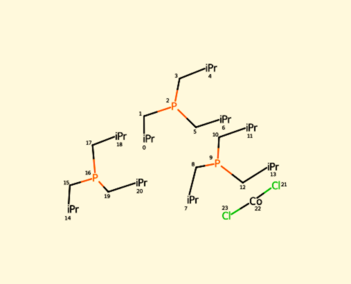 CC(C)CP(CC(C)C)CC(C)C.CC(C)CP(CC(C)C)CC(C)C.CC(C)CP(CC(C)C)CC(C)C.[Cl][Co][Cl]